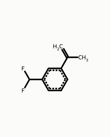 C=C(C)c1cccc(C(F)F)c1